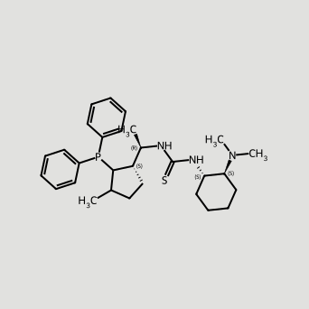 CC1CC[C@@H]([C@@H](C)NC(=S)N[C@H]2CCCC[C@@H]2N(C)C)C1P(c1ccccc1)c1ccccc1